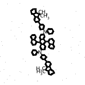 CC1(C)c2ccccc2-c2ccc(-c3ccc(N(c4ccccc4)c4ccc5c(-c6cccc7ccccc67)c6cc(N(c7ccccc7)c7ccc(-c8ccc9c(c8)C(C)(C)c8ccccc8-9)cc7)ccc6c(-c6cccc7ccccc67)c5c4)cc3)cc21